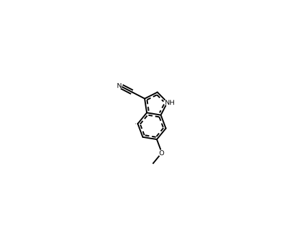 COc1c[c]c2c(C#N)c[nH]c2c1